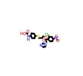 O=C(O)Nc1ccc(SCC2COC(Cn3ccnc3)(c3ccc([N+](=O)[O-])cc3Cl)O2)cc1